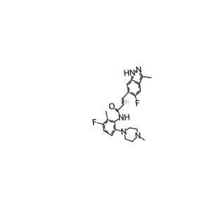 Cc1c(F)ccc(N2CCN(C)CC2)c1NC(=O)/C=C/c1cc2[nH]nc(C)c2cc1F